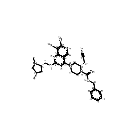 CN1C[C@H](F)C[C@H]1COc1nc(N2CCN(C(=O)OCc3ccccc3)[C@@H](CC#N)C2)c2cnc(Cl)c(F)c2n1